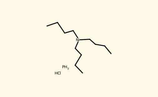 CCC[CH2][Ni]([CH2]CCC)[CH2]CCC.Cl.P